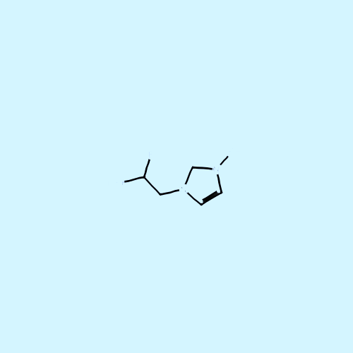 CCCCC(CC)CN1C=CN(C)C1